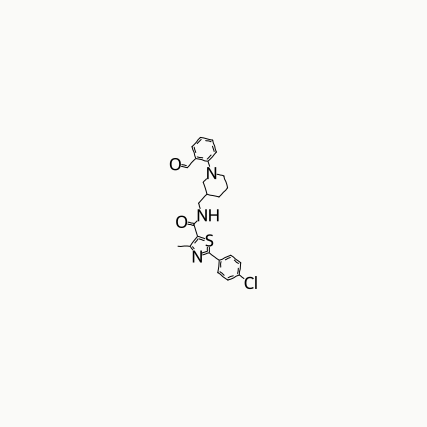 Cc1nc(-c2ccc(Cl)cc2)sc1C(=O)NCC1CCCN(c2ccccc2C=O)C1